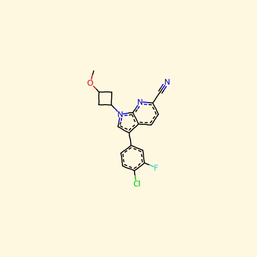 COC1CC(n2cc(-c3ccc(Cl)c(F)c3)c3ccc(C#N)nc32)C1